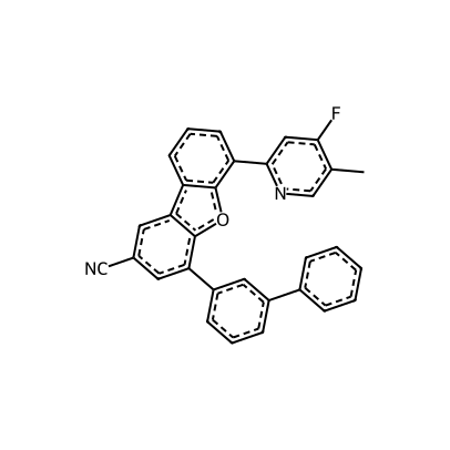 Cc1cnc(-c2cccc3c2oc2c(-c4cccc(-c5ccccc5)c4)cc(C#N)cc23)cc1F